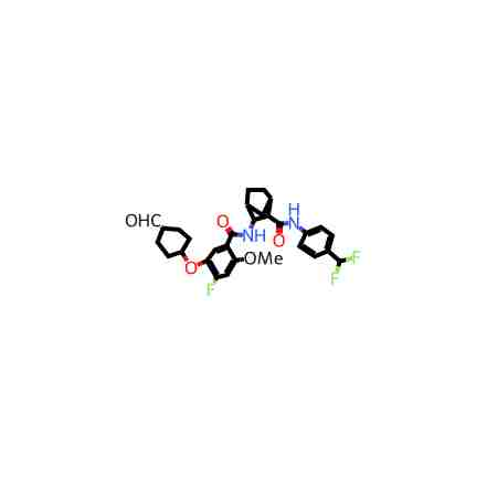 COc1cc(F)c(OC2CCC(C=O)CC2)cc1C(=O)NC1C2CCC(C2)C1C(=O)Nc1ccc(C(F)F)cc1